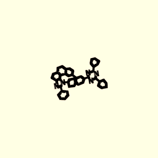 c1ccc(-c2nc(-c3ccccc3)nc(-c3cccc(-c4ccc5ccc6ccc7nc(-c8ccccc8)n(-c8ccccc8)c7c6c5c4)c3)n2)cc1